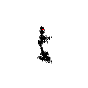 Cc1ncsc1-c1ccc(CNC(=O)[C@@H]2C[C@@H](O)CN2C(=O)[C@H](c2cc(OCCCCCCCCNC(=O)c3cc4c(cc3CS(C)(=O)=O)-c3cn(C)c(=O)c5[nH]cc(c35)CN4c3ncc(F)cc3F)no2)C(C)C)cc1